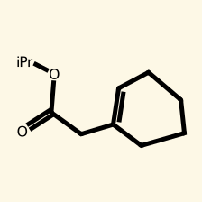 CC(C)OC(=O)CC1=CCCCC1